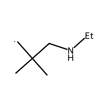 [CH2]C(C)(C)CNCC